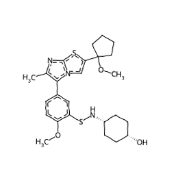 COc1ccc(-c2c(C)nc3sc(C4(OC)CCCC4)cn23)cc1SN[C@H]1CC[C@@H](O)CC1